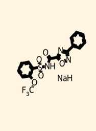 O=C(NS(=O)(=O)c1ccccc1OC(F)(F)F)c1nc(-c2ccccc2)no1.[NaH]